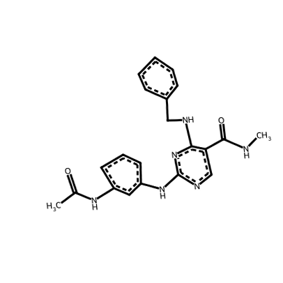 CNC(=O)c1cnc(Nc2cccc(NC(C)=O)c2)nc1NCc1ccccc1